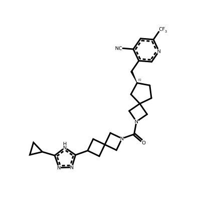 N#Cc1cc(C(F)(F)F)ncc1C[C@H]1CCC2(C1)CN(C(=O)N1CC3(CC(c4nnc(C5CC5)[nH]4)C3)C1)C2